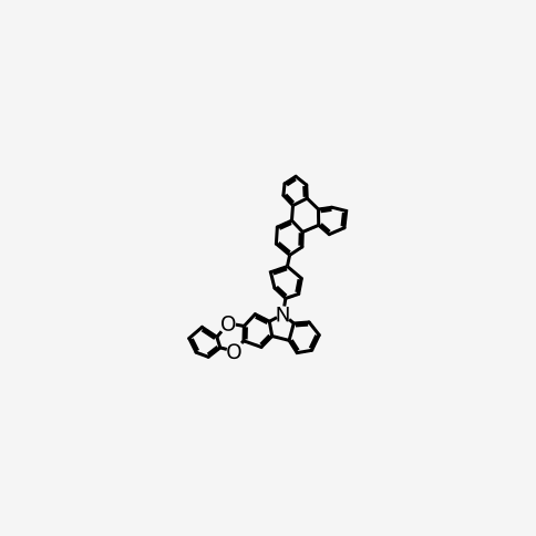 c1ccc2c(c1)Oc1cc3c4ccccc4n(-c4ccc(-c5ccc6c7ccccc7c7ccccc7c6c5)cc4)c3cc1O2